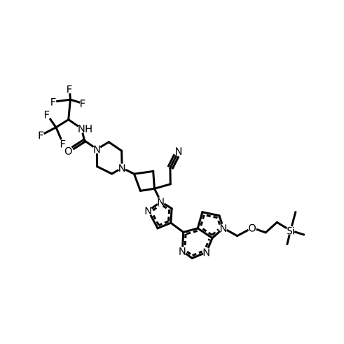 C[Si](C)(C)CCOCn1ccc2c(-c3cnn(C4(CC#N)CC(N5CCN(C(=O)NC(C(F)(F)F)C(F)(F)F)CC5)C4)c3)ncnc21